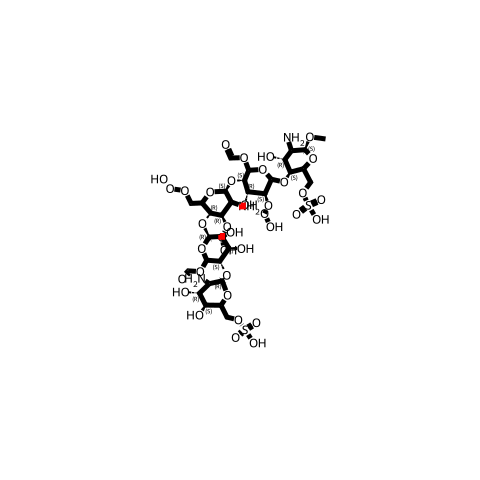 CO[C@H]1OC(COS(=O)(=O)O)[C@@H](OC2OC(OC=O)[C@@H](O[C@@H]3OC(COOO)[C@@H](O[C@@H]4OC(OC=O)[C@@H](O[C@H]5OC(COS(=O)(=O)O)[C@@H](O)[C@H](O)C5N)[C@H](O)C4O)[C@H](OOO)C3N)[C@@H](O)[C@@H]2OOO)[C@H](O)C1N